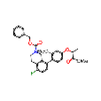 COC(=O)C(C)Oc1ccc(-c2ccc(F)c3c2CN(C(=O)OCc2ccccc2)CC3)c(OC)c1